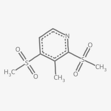 Cc1c(S(C)(=O)=O)ccnc1S(C)(=O)=O